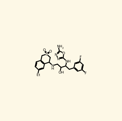 CCc1ccc2c(c1)C(NCC(O)C(Cc1cc(F)cc(F)c1)Nc1nnc(N)o1)CS(=O)(=O)C2